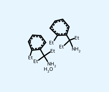 CCc1ccccc1C(N)(CC)CC.CCc1ccccc1C(N)(CC)CC.O